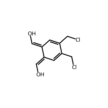 OC=c1cc(CCl)c(CCl)cc1=CO